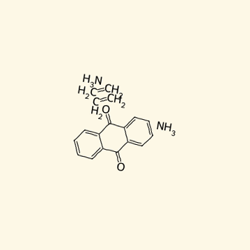 C=C.C=C.N.N.O=C1c2ccccc2C(=O)c2ccccc21